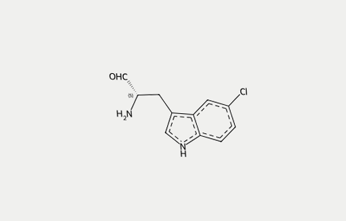 N[C@H](C=O)Cc1c[nH]c2ccc(Cl)cc12